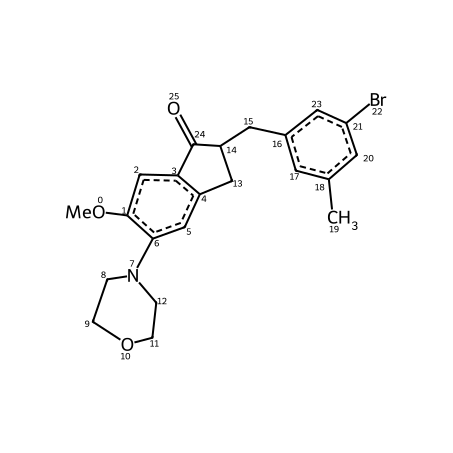 COc1cc2c(cc1N1CCOCC1)CC(Cc1cc(C)cc(Br)c1)C2=O